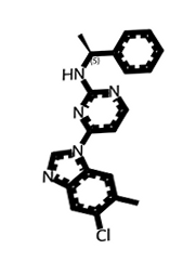 Cc1cc2c(cc1Cl)ncn2-c1ccnc(N[C@@H](C)c2ccccc2)n1